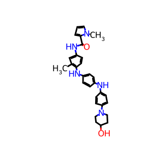 Cc1cc(NC(=O)c2cccn2C)ccc1Nc1ccc(Nc2ccc(N3CCC(O)CC3)cc2)cc1